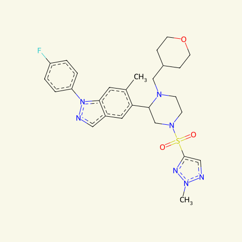 Cc1cc2c(cnn2-c2ccc(F)cc2)cc1C1CN(S(=O)(=O)c2cnn(C)n2)CCN1CC1CCOCC1